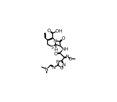 C=CC1=C(C(=O)O)N2C(=O)C(NC(=O)C(=NOC)c3noc(N=CN(C)C)n3)[C@@H]2SC1